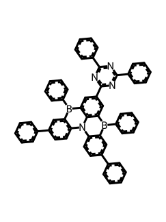 c1ccc(B2c3cc(-c4ccccc4)ccc3N3c4ccc(-c5ccccc5)cc4B(c4ccccc4)c4cc(-c5nc(-c6ccccc6)nc(-c6ccccc6)n5)cc2c43)cc1